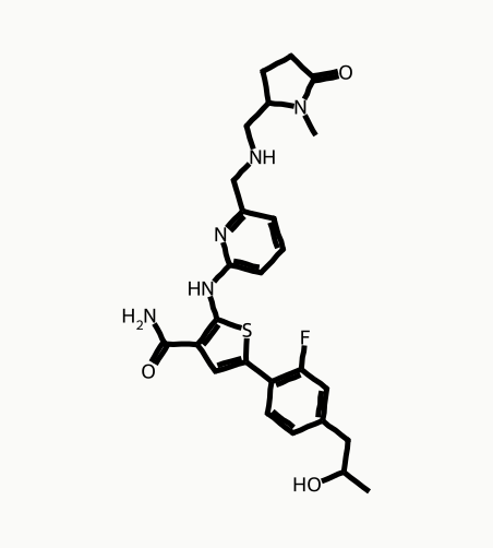 CC(O)Cc1ccc(-c2cc(C(N)=O)c(Nc3cccc(CNCC4CCC(=O)N4C)n3)s2)c(F)c1